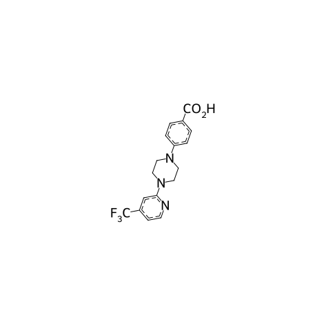 O=C(O)c1ccc(N2CCN(c3cc(C(F)(F)F)ccn3)CC2)cc1